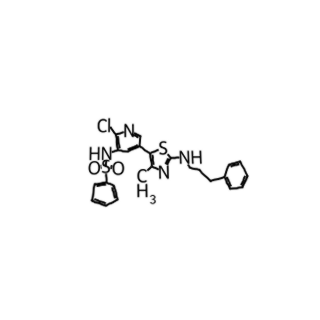 Cc1nc(NCCCc2ccccc2)sc1-c1cnc(Cl)c(NS(=O)(=O)c2ccccc2)c1